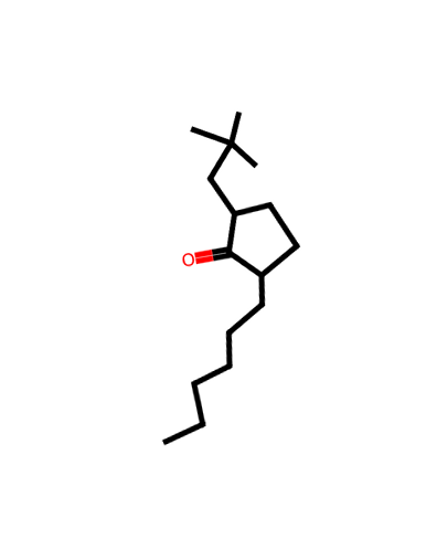 CCCCCCC1CCC(CC(C)(C)C)C1=O